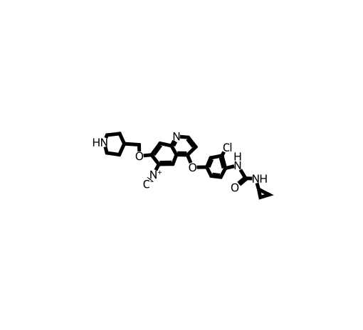 [C-]#[N+]c1cc2c(Oc3ccc(NC(=O)NC4CC4)c(Cl)c3)ccnc2cc1OCC1CCNCC1